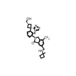 Cn1cnnc1[C@]1(c2cccc(N3Cc4c(cc(CNC5(C)CCC5)cc4C(F)(F)F)C3=O)c2)C[C@@H](CO)C1